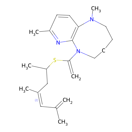 C=C(C)/C=C(/C)CC(C)SC(=C)N1CCCCN(C)c2ccc(C)nc21